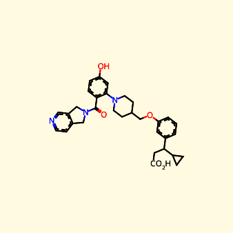 O=C(O)CC(c1cccc(OCC2CCN(c3cc(O)ccc3C(=O)N3Cc4ccncc4C3)CC2)c1)C1CC1